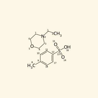 CCN1CCOCC1.Cc1ccc(S(=O)(=O)O)cc1